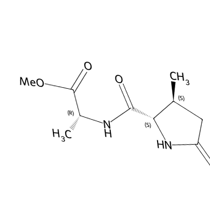 COC(=O)[C@@H](C)NC(=O)[C@H]1NC(=O)C[C@@H]1C